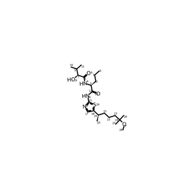 CCC[C@H](NC(=O)[C@@H](O)C(C)C)C(=O)Nc1ncc([C@H](C)CCCC(C)(C)OC)s1